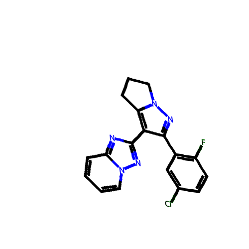 Fc1ccc(Cl)cc1-c1nn2c(c1-c1nc3ccccn3n1)CCC2